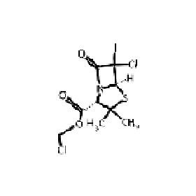 CC1(C)S[C@H]2N(C(=O)C2(Cl)I)[C@H]1C(=O)OCCl